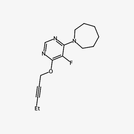 CCC#CCOc1ncnc(N2CCCCCC2)c1F